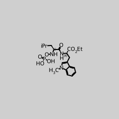 CCOC(=O)[C@@H](Cc1cn(C)c2ccccc12)NC(=O)[C@H](CC(C)C)NOP(=O)(O)O